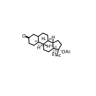 CC[C@]12CC[C@H]3[C@@H](CCC4CC(=O)CC[C@@H]43)[C@@H]1CC[C@@]2(OC(C)=O)C(C)=O